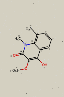 CCCCCCCCOc1c(O)c2cccc([N+](=O)[O-])c2n(C)c1=O